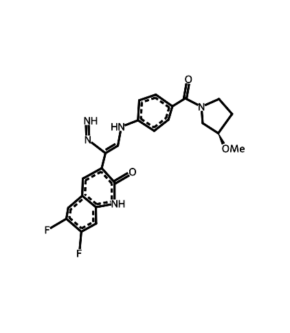 CO[C@@H]1CCN(C(=O)c2ccc(N/C=C(\N=N)c3cc4cc(F)c(F)cc4[nH]c3=O)cc2)C1